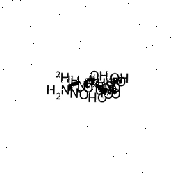 [2H][IH]c1cn([C@H]2C[C@H](O)[C@@H](COP(=O)(O)OP(=O)(O)OP(=O)(O)O)O2)c(=O)nc1N